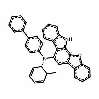 CC1C=CC=C[C@@H]1N(c1ccc(-c2ccccc2)cc1)c1cc2c3ccccc3oc2c2[nH]c3ccccc3c12